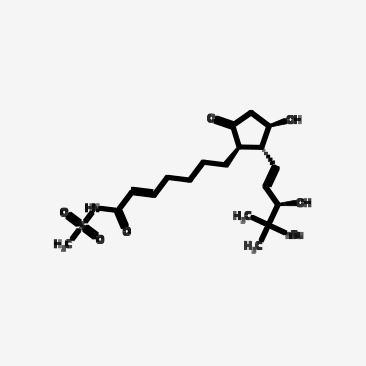 CCCCC(C)(C)[C@H](O)/C=C/[C@H]1[C@H](O)CC(=O)[C@@H]1CCCC/C=C/C(=O)NS(C)(=O)=O